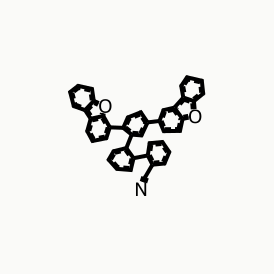 N#Cc1ccccc1-c1ccccc1-c1cc(-c2ccc3oc4ccccc4c3c2)ccc1-c1cccc2c1oc1ccccc12